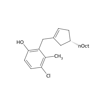 CCCCCCCC[C@H]1CC=C(Cc2c(O)ccc(Cl)c2C)C1